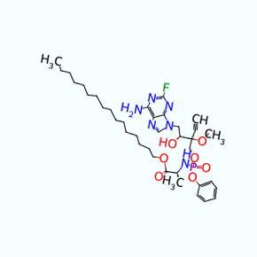 C#CC(COP(=O)(N[C@@H](C)C(=O)OCCCCCCCCCCCCCCCC)Oc1ccccc1)(OC)[C@@H](O)Cn1cnc2c(N)nc(F)nc21